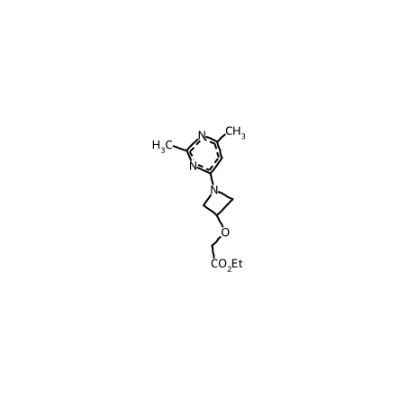 CCOC(=O)COC1CN(c2cc(C)nc(C)n2)C1